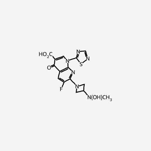 CN(O)C1CN(c2nc3c(cc2F)c(=O)c(C(=O)O)cn3-c2ncns2)C1